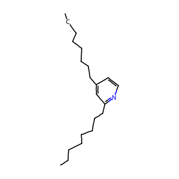 CCCCCCCCc1ccnc(CCCCCCCC)c1